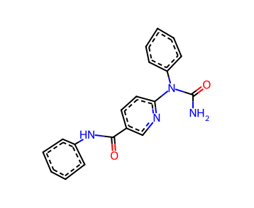 NC(=O)N(c1ccccc1)c1ccc(C(=O)Nc2ccccc2)cn1